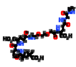 CCCNC(=O)CNC(=O)CCC(NC(=O)COCCOCCNC(=O)CCC(NC(=O)C(CS(=O)(=O)O)NC(=O)C(C)(C)CC(C)(C)C(=O)O)C(=O)O)C(=O)O